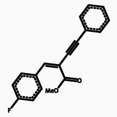 COC(=O)C(C#Cc1ccccc1)=Cc1ccc(F)cc1